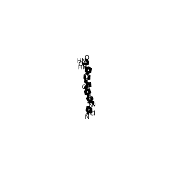 C[C@@H]1CC2(CCN(c3ccc(C(=O)N4CCC4CN4CCN(c5cccc(NC6CCC(=O)NC6=O)c5)CC4)cc3)CC2)CN1c1ccc(C#N)c(Cl)c1